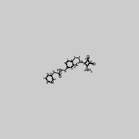 Nc1c(N2CCc3ccc(CNC(=O)Cc4cccnc4)cc3C2)c(=O)c1=O